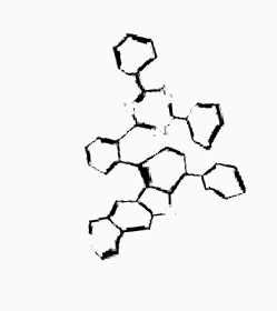 c1ccc(-c2nc(-c3ccccc3)nc(-c3ccccc3-c3ccc(-c4ccccc4)c4oc5cc6ccncc6cc5c34)n2)cc1